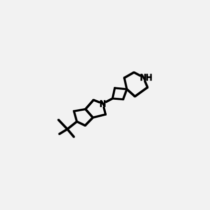 CC(C)(C)C1CC2CN(C3CC4(CCNCC4)C3)CC2C1